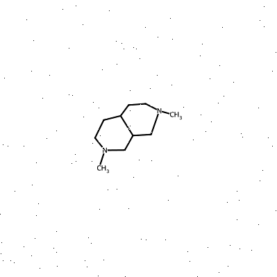 CN1CCC2CCN(C)CC2C1